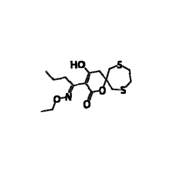 CCCC(=NOCC)C1=C(O)CC2(CSCCSC2)OC1=O